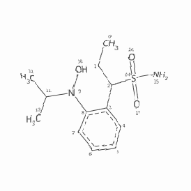 CCC(c1ccccc1N(O)C(C)C)S(N)(=O)=O